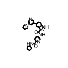 O=C(Nc1ccc(C(=O)NC2CCCC2)nc1)C1=NNC2CC=C(c3cncc(N4CCCC4)c3)C=C12